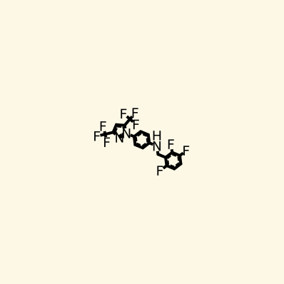 Fc1ccc(F)c(CNc2ccc(-n3nc(C(F)(F)F)cc3C(F)(F)F)cc2)c1F